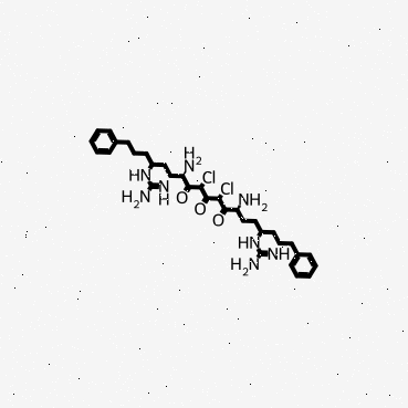 N=C(N)NC(CCCc1ccccc1)CC[C@H](N)C(=O)C(Cl)C(=O)C(Cl)C(=O)[C@@H](N)CCC(CCCc1ccccc1)NC(=N)N